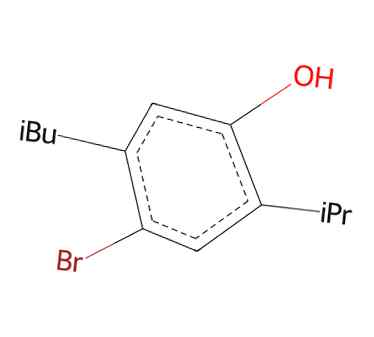 CCC(C)c1cc(O)c(C(C)C)cc1Br